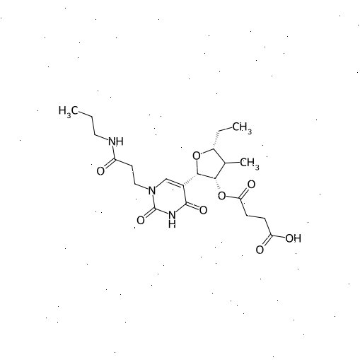 CCCNC(=O)CCn1cc([C@@H]2O[C@H](CC)C(C)[C@@H]2OC(=O)CCC(=O)O)c(=O)[nH]c1=O